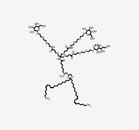 CCCCC/C=C\C/C=C\CCCCCCCCC1(CCCCCCCC/C=C\C/C=C\CCCCC)OC[C@H](CN(C)CCCCCC(=O)NC(COCCC(=O)NCCOCCOCCO[C@@H]2OC(CO)[C@@H](O)C(O)[C@H]2O)(COCCC(=O)NCCOCCOCCO[C@@H]2OC(CO)[C@@H](O)C(O)[C@H]2O)COCCC(=O)NCCOCCOCCO[C@H](OC)[C@H](O)C(O)[C@H](O)CCO)O1